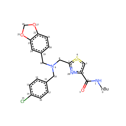 CCCCNC(=O)c1csc(CN(Cc2ccc(Cl)cc2)Cc2ccc3c(c2)OCO3)n1